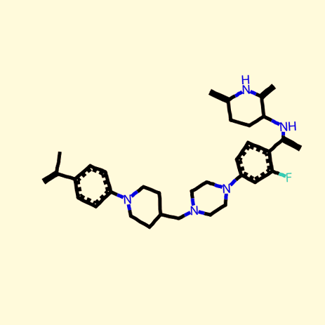 C=C1CCC(NC(=C)c2ccc(N3CCN(CC4CCN(c5ccc(C(=C)C)cc5)CC4)CC3)cc2F)C(=C)N1